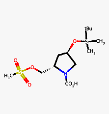 CC(C)(C)[Si](C)(C)O[C@@H]1C[C@@H](COS(C)(=O)=O)N(C(=O)O)C1